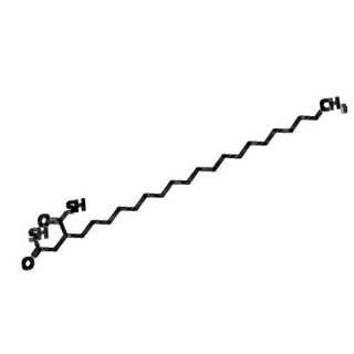 CCCCCCCCCCCCCCCCCCCCC(CC(=O)S)C(=O)S